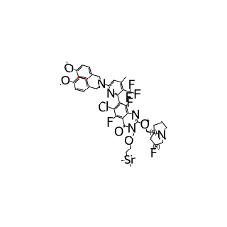 COc1ccc(CN(Cc2ccc(OC)cc2)c2cc(C)c(C(F)(F)F)c(-c3c(Cl)c(F)c4c(=O)n(COCC[Si](C)(C)C)c(OC[C@@]56CCCN5C[C@H](F)C6)nc4c3F)n2)cc1